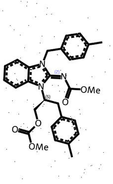 COC(=O)/N=c1/n(Cc2ccc(C)cc2)c2ccccc2n1[C@H](COC(=O)OC)Cc1ccc(C)cc1